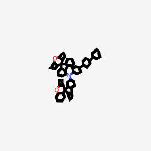 c1ccc(-c2ccc(-c3ccc(N(c4ccc5c(c4)C4(c6ccccc6Oc6ccccc64)c4ccccc4-5)c4cccc5c4-c4ccccc4C54c5ccccc5Oc5ccccc54)cc3)cc2)cc1